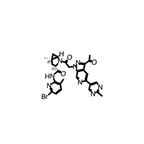 CC(=O)c1nn(CC(=O)N2[C@H](C(=O)Nc3nc(Br)ccc3C)C[C@@]3(C)C[C@@H]23)c2cnc(-c3cnc(C)nc3)cc12